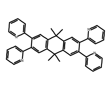 CC1(C)c2cc(-c3ccccn3)c(-c3ccccn3)cc2C(C)(C)c2cc(-c3ccccn3)c(-c3ccccn3)cc21